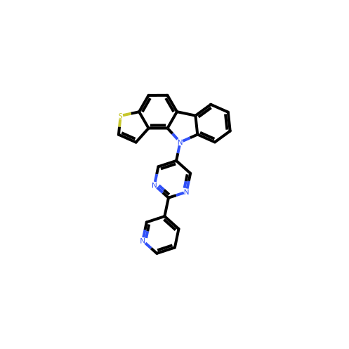 c1cncc(-c2ncc(-n3c4ccccc4c4ccc5sccc5c43)cn2)c1